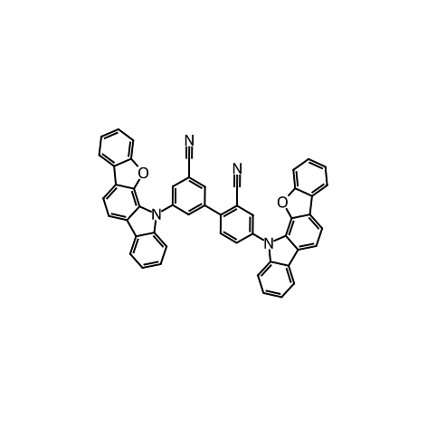 N#Cc1cc(-c2ccc(-n3c4ccccc4c4ccc5c6ccccc6oc5c43)cc2C#N)cc(-n2c3ccccc3c3ccc4c5ccccc5oc4c32)c1